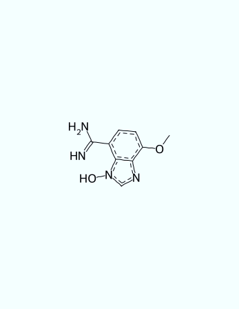 COc1ccc(C(=N)N)c2c1ncn2O